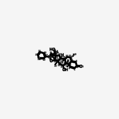 C[C@]12C=CC(=O)C=C1[C@@H](F)C[C@H]1[C@@H]3C[C@H]4CN(c5cccnc5)O[C@@]4(C(=O)CO)[C@@]3(C)C[C@H](O)[C@@]12F